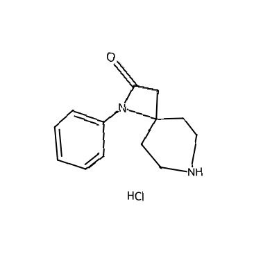 Cl.O=C1CC2(CCNCC2)N1c1ccccc1